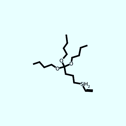 C=C[SiH2]CCCC(OCCCC)(OCCCC)OCCCC